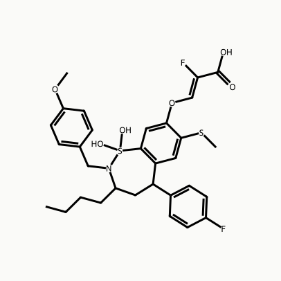 CCCCC1CC(c2ccc(F)cc2)c2cc(SC)c(O/C=C(\F)C(=O)O)cc2S(O)(O)N1Cc1ccc(OC)cc1